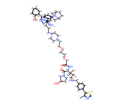 Cc1ncsc1-c1ccc(CNC(=O)[C@@H]2C[C@@H](O)CN2C(=O)[C@@H](NC(=O)COCCOCCN2CCN(CCCc3cc(N4C5CCC4CN(c4cc(-c6ccccc6O)nnc4N)C5)ccn3)CC2)C(C)(C)C)cc1